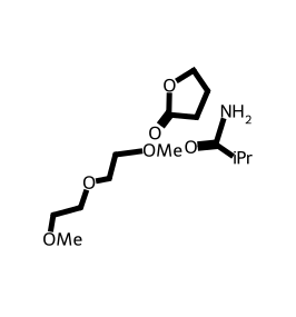 CC(C)C(N)=O.COCCOCCOC.O=C1CCCO1